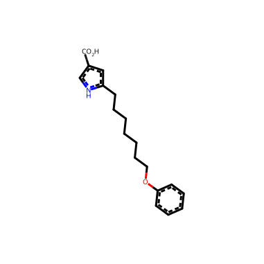 O=C(O)c1c[nH]c(CCCCCCCOc2ccccc2)c1